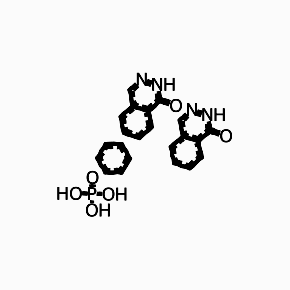 O=P(O)(O)O.O=c1[nH]ncc2ccccc12.O=c1[nH]ncc2ccccc12.c1ccccc1